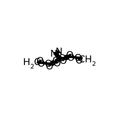 C=CC(=O)OCCCCOC(=O)C1CCC(C(=O)Oc2ccc(OC(=O)C3CCC(C(=O)OCCCCOC(=O)C=C)CC3)c3c2SC(=C(C#N)C#N)S3)CC1